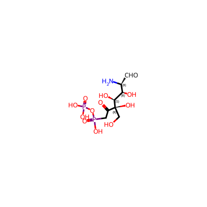 N[C@@H](C=O)[C@@H](O)[C@H](O)[C@](O)(CO)C(=O)CP(=O)(O)OP(=O)(O)O